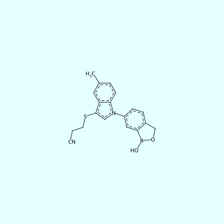 Cc1ccc2c(c1)c(SCCC#N)cn2-c1ccc2c(c1)B(O)OC2